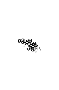 CN(C)[C@@H]1C(O)=C(C(N)=O)C(=O)[C@@]2(O)C(O)=C3C(=O)c4c(O)cc(CNC(C)(C)c5ccccc5)c(C(F)(F)F)c4C[C@H]3C[C@@H]12